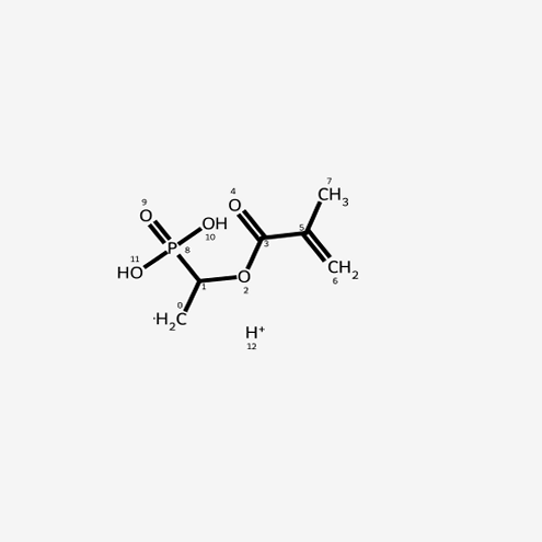 [CH2]C(OC(=O)C(=C)C)P(=O)(O)O.[H+]